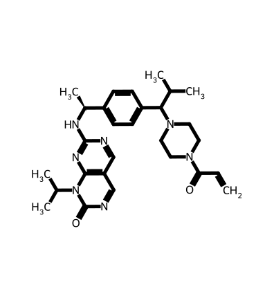 C=CC(=O)N1CCN(C(c2ccc([C@H](C)Nc3ncc4cnc(=O)n(C(C)C)c4n3)cc2)C(C)C)CC1